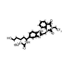 CC(C)(C)OC(=O)NC(CCCCO)c1ccc2[nH]c(Cn3c(=O)n(CC(F)(F)F)c(=O)c4ccccc43)nc2c1